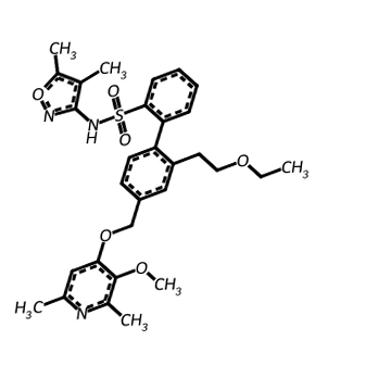 CCOCCc1cc(COc2cc(C)nc(C)c2OC)ccc1-c1ccccc1S(=O)(=O)Nc1noc(C)c1C